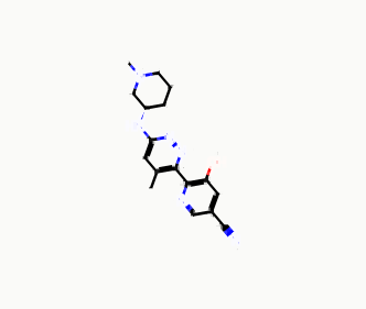 Cc1cc(N[C@@H]2CCCN(C)C2)nnc1-c1ncc(C#N)cc1O